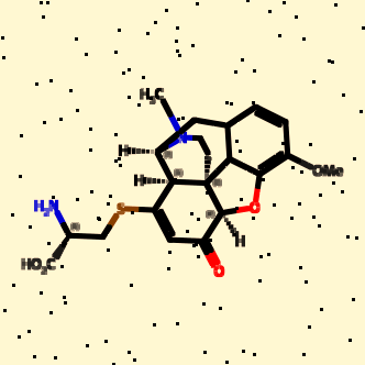 COC1=C2O[C@H]3C(=O)C=C(SC[C@H](N)C(=O)O)[C@H]4[C@H]5CC(C=C1)C2[C@@]34CCN5C